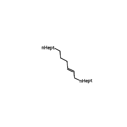 [CH2]CCCCCCCC=CCCCCCCCCCC